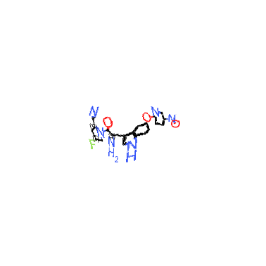 N#C[C@@H]1C[C@H](F)CN1C(=O)[C@@H](N)Cc1c[nH]c2ccc(Oc3ccc(N=O)cn3)cc12